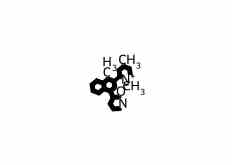 Cc1cc[n+](C)c(-c2c(C)c3ccccc3c3c2oc2ncccc23)c1